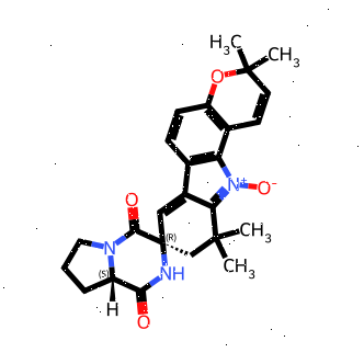 CC1(C)C=Cc2c(ccc3c2[N+]([O-])=C2C3=C[C@@]3(CC2(C)C)NC(=O)[C@@H]2CCCN2C3=O)O1